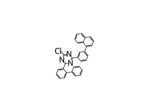 Clc1nc(-c2cccc(-c3cccc4ccccc34)c2)nc(-c2ccccc2-c2ccccc2)n1